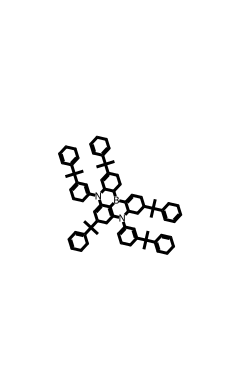 CC(C)(C1=CCCC=C1)C1=CCCC(N2C3=CC(C(C)(C)C4=CC=CCC4)CC4=C3B(C3=CCC(C(C)(C)C5=CC=CCC5)CC3N4C3=CCCC(C(C)(C)C4=CCCC=C4)=C3)C3CCC(C(C)(C)C4=CCCC=C4)=CC32)=C1